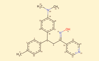 Cc1ccc(C(CC(=NO)c2ccncc2)c2ccc(N(C)C)cc2)cc1